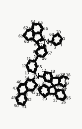 c1ccc(-n2c3c(c4cc(-c5cccc(N(c6ccc7c(c6)C6(c8ccccc8-c8ccccc86)c6ccccc6-7)c6ccc7c(ccc8ccccc87)c6)c5)ccc42)-c2cccc4cccc-3c24)cc1